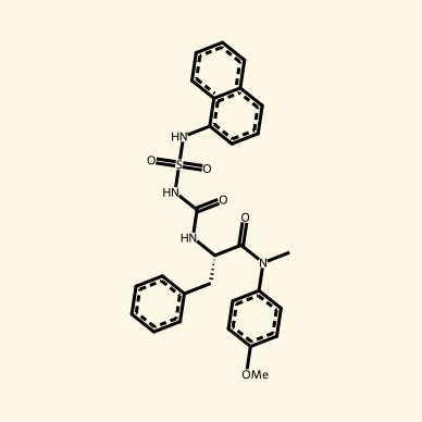 COc1ccc(N(C)C(=O)[C@H](Cc2ccccc2)NC(=O)NS(=O)(=O)Nc2cccc3ccccc23)cc1